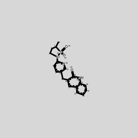 CC1CCN(c2ccc(Cc3cc4ccccc4[nH]c3=O)cn2)S1(=O)=O